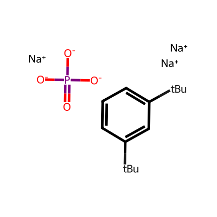 CC(C)(C)c1cccc(C(C)(C)C)c1.O=P([O-])([O-])[O-].[Na+].[Na+].[Na+]